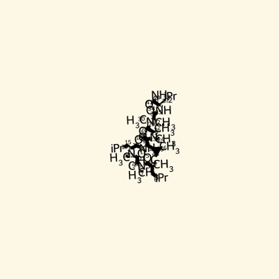 CC(C)C[C@@H](C)C(=O)N(C)[C@@H](C)C(=O)N(C)[C@@H](CC(C)C)C(=O)N[C@H](C(=O)N(C)[C@@H](C)C(=O)N(C)[C@H](C)C(=O)N[C@H](CC(C)C)C(N)=O)C1[C@@H](C)[C@@H]1C